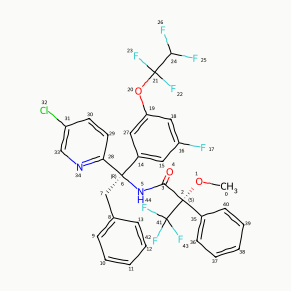 CO[C@](C(=O)N[C@](Cc1ccccc1)(c1cc(F)cc(OC(F)(F)C(F)F)c1)c1ccc(Cl)cn1)(c1ccccc1)C(F)(F)F